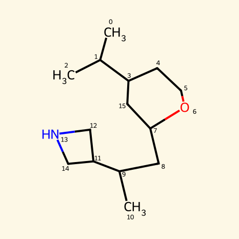 CC(C)C1CCOC(CC(C)C2CNC2)C1